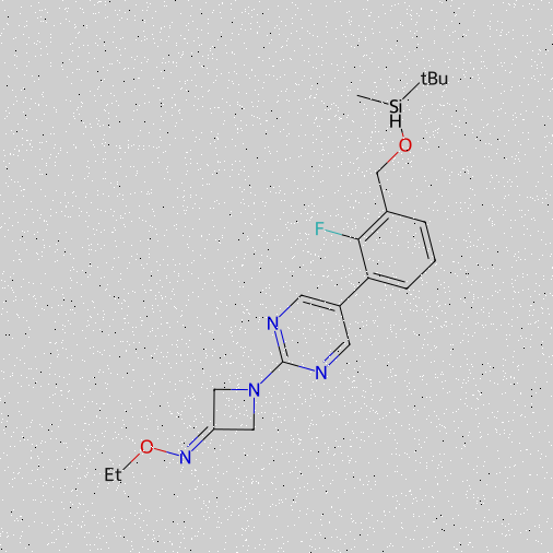 CCON=C1CN(c2ncc(-c3cccc(CO[SiH](C)C(C)(C)C)c3F)cn2)C1